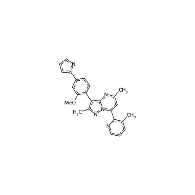 COc1cc(-n2cccn2)ccc1-c1c(C)nn2c(-c3ncccc3C)cc(C)nc12